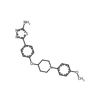 COc1ccc(N2CCC(Oc3ccc(-c4nnc(N)s4)cc3)CC2)cc1